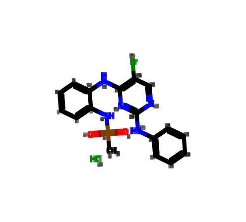 CS(=O)(=O)Nc1ccccc1Nc1nc(Nc2ccccc2)ncc1Br.Cl